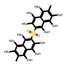 Cc1[c]([RaH])[c]([RaH])c2[c]([RaH])c(S(=O)(=O)c3[c]([RaH])[c]([RaH])c4[c]([RaH])c(C)[c]([RaH])[c]([RaH])c4[c]3[RaH])[c]([RaH])[c]([RaH])c2[c]1[RaH]